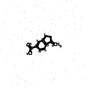 C=C1CCc2cc(C(=O)Cl)ccc21